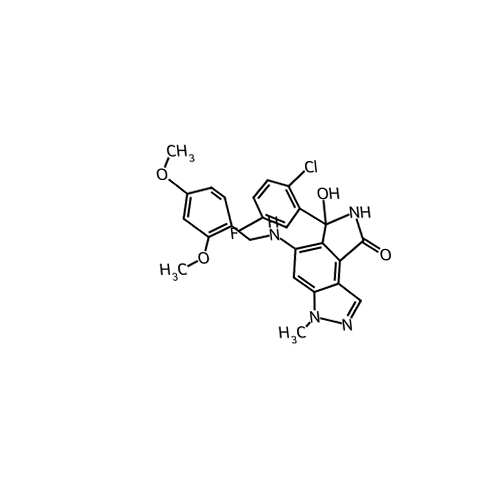 COc1ccc(CNc2cc3c(cnn3C)c3c2C(O)(c2cc(F)ccc2Cl)NC3=O)c(OC)c1